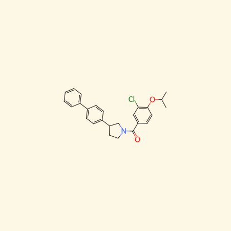 CC(C)Oc1ccc(C(=O)N2CCC(c3ccc(-c4ccccc4)cc3)C2)cc1Cl